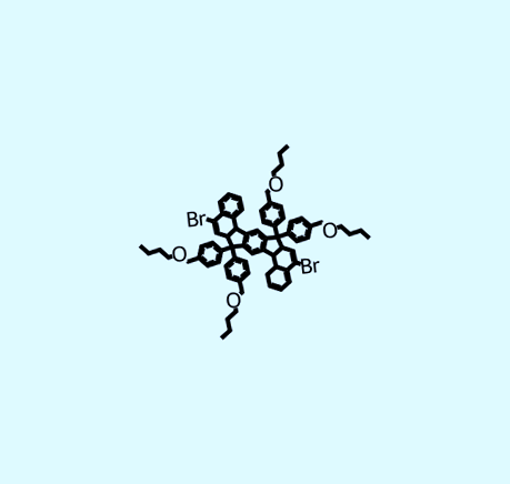 CCCCOCc1ccc(C2(c3ccc(COCCCC)cc3)c3cc4c(cc3C3c5ccccc5C(Br)=CC32)C(c2ccc(COCCCC)cc2)(c2ccc(COCCCC)cc2)C2C=C(Br)C3=CC=CCC3C42)cc1